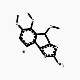 COc1ccc2c(c1OC)C(OC)c1sc(N)nc1-2.I